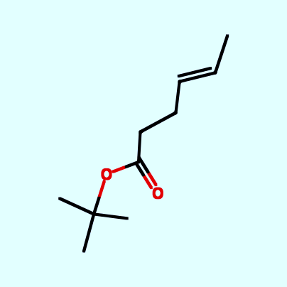 CC=CCCC(=O)OC(C)(C)C